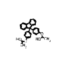 CC(O)Oc1ccc(C2(c3ccc(OC(C)O)cc3)c3ccccc3-c3ccccc32)cc1